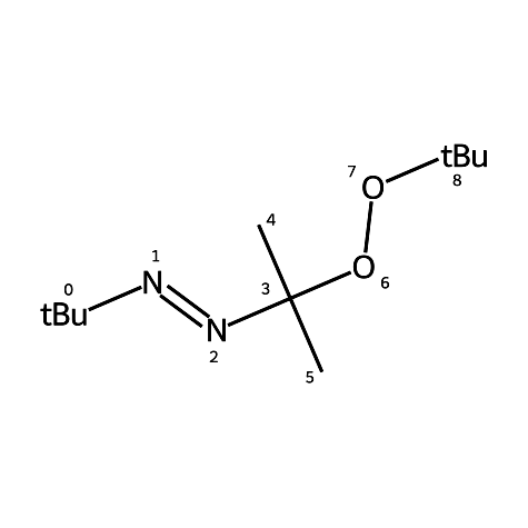 CC(C)(C)N=NC(C)(C)OOC(C)(C)C